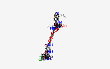 Cc1ncsc1-c1ccc(CNC(=O)[C@@H]2C[C@@H](O)CN2C(=O)[C@@H](NC(=O)CCOCCOCCOCCNC(=O)c2ccc(NC(=O)[C@@H]3NC4(CCCCC4)[C@@]4(C(=O)Nc5cc(Cl)ccc54)[C@H]3c3cccc(Cl)c3F)cc2)C(C)(C)C)cc1